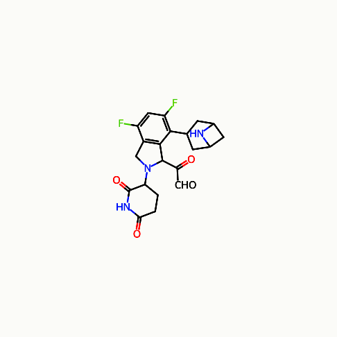 O=CC(=O)C1c2c(c(F)cc(F)c2C2CC3CC(C2)N3)CN1C1CCC(=O)NC1=O